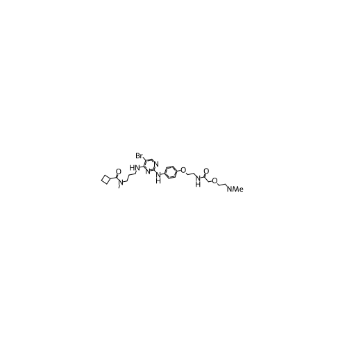 CNCCOCC(=O)NCCOc1ccc(Nc2ncc(Br)c(NCCCN(C)C(=O)C3CCC3)n2)cc1